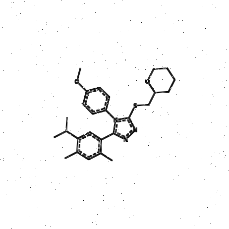 COc1ccc(-n2c(SCC3CCCCO3)nnc2-c2cc(C(C)C)c(C)cc2C)cc1